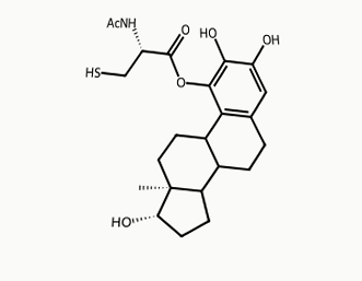 CC(=O)N[C@@H](CS)C(=O)Oc1c(O)c(O)cc2c1C1CC[C@@]3(C)C(CC[C@@H]3O)C1CC2